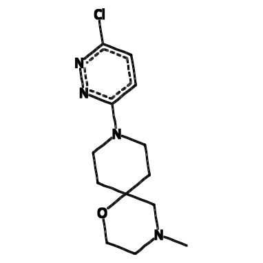 CN1CCOC2(CCN(c3ccc(Cl)nn3)CC2)C1